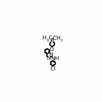 CC(C)N1CCC(Oc2cccc3cnc(Nc4ccc(Cl)cc4)nc23)CC1